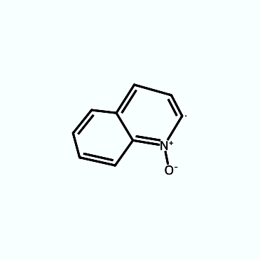 [O-][n+]1[c]ccc2ccccc21